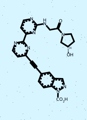 O=C(CNc1nccc(-c2nccc(C#Cc3ccc4c(cnn4C(=O)O)c3)n2)n1)N1CC[C@H](O)C1